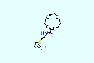 O=C(O)CSCCNC(=O)C1CCCCCCCCCCC1